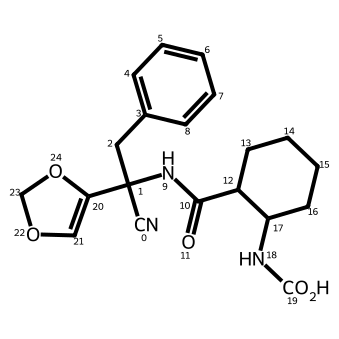 N#CC(Cc1ccccc1)(NC(=O)C1CCCCC1NC(=O)O)C1=COCO1